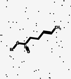 CC=CCC[PH](=O)OCC